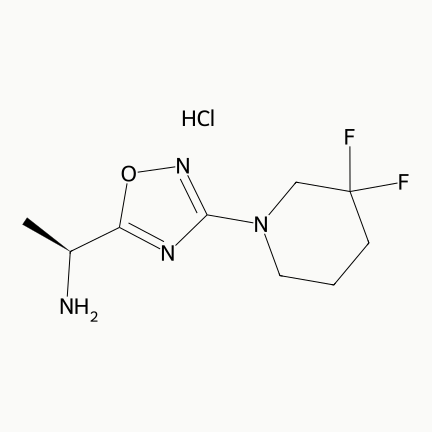 C[C@H](N)c1nc(N2CCCC(F)(F)C2)no1.Cl